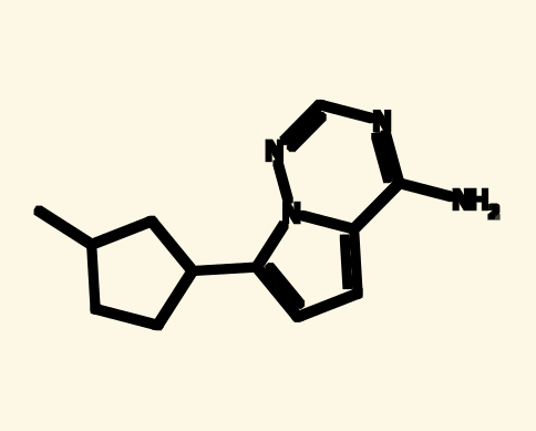 CC1CCC(c2ccc3c(N)ncnn23)C1